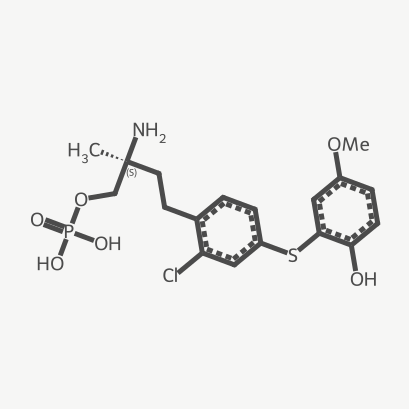 COc1ccc(O)c(Sc2ccc(CC[C@](C)(N)COP(=O)(O)O)c(Cl)c2)c1